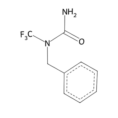 NC(=O)N(Cc1ccccc1)C(F)(F)F